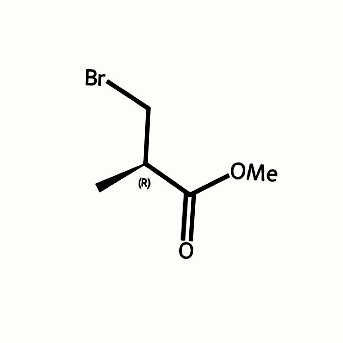 COC(=O)[C@@H](C)CBr